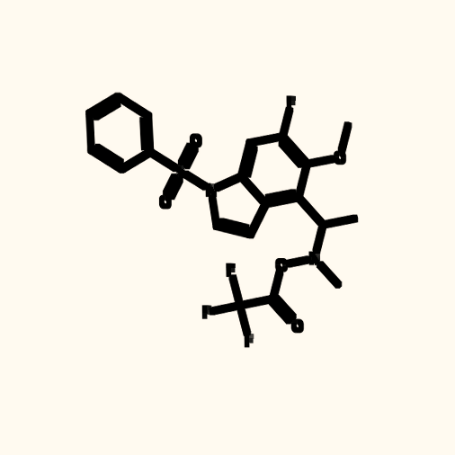 COc1c(F)cc2c(ccn2S(=O)(=O)c2ccccc2)c1C(C)N(C)OC(=O)C(F)(F)F